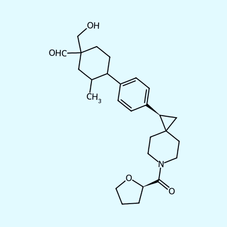 CC1CC(C=O)(CO)CCC1c1ccc([C@H]2CC23CCN(C(=O)[C@H]2CCCO2)CC3)cc1